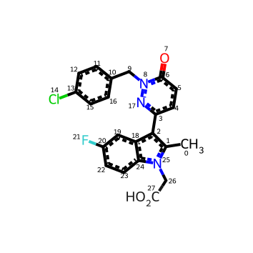 Cc1c(-c2ccc(=O)n(Cc3ccc(Cl)cc3)n2)c2cc(F)ccc2n1CC(=O)O